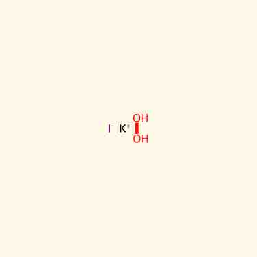 OO.[I-].[K+]